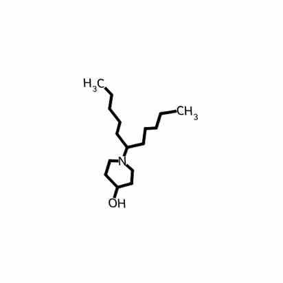 CCCCCC(CCCCC)N1CCC(O)CC1